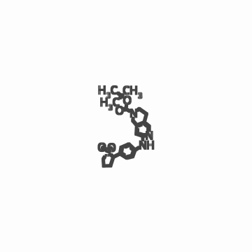 CC(C)(C)OC(=O)N1CCc2cnc(Nc3ccc(C4CCCS4(=O)=O)cc3)cc2C1